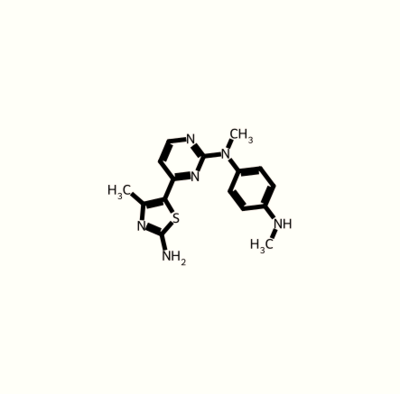 CNc1ccc(N(C)c2nccc(-c3sc(N)nc3C)n2)cc1